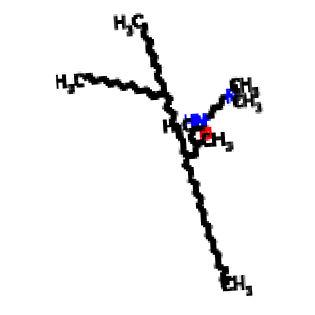 CCCCCCCCCCCCCCCCCCC(CCCCCCCCC(CCCCCCCCCC)CCCCCCCCCCC)CC(C)CC(C)C(=O)NCCCCN(C)C